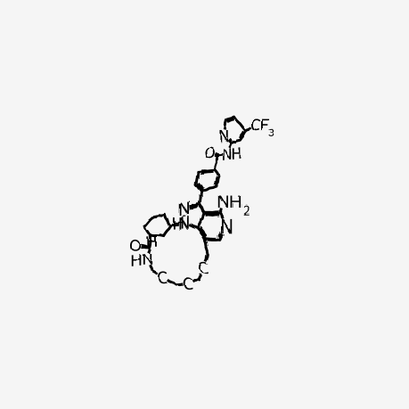 Nc1ncc2c3c1c(-c1ccc(C(=O)Nc4cc(C(F)(F)F)ccn4)cc1)nn3[C@@H]1CCC[C@H](C1)C(=O)NCCCCCCC2